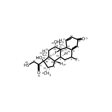 C[C@H]1C[C@H]2[C@@H]3CC(F)C4=CC(=O)C=C[C@]4(C)C3(F)[C@@H](O)C[C@]2(C)[C@@]1(O)C(=O)CS